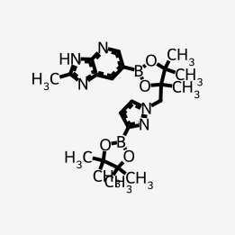 Cc1nc2cc(B3OC(C)(C)C(C)(Cn4ccc(B5OC(C)(C)C(C)(C)O5)n4)O3)cnc2[nH]1